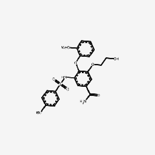 COc1ccccc1Oc1c(NS(=O)(=O)c2ccc(C(C)(C)C)cc2)cc(C(N)=O)cc1OCCO